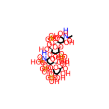 CC(=O)N[C@@H]1[C@@H](O)[C@H](O[C@@H]2O[C@H](C(=O)O)[C@@H](O[C@@H]3O[C@H](CO)[C@@H](O[C@H]4O[C@@H](C(=O)O)[C@H](O)[C@@H](O)[C@@H]4OS(=O)(=O)O)[C@H](OS(=O)(=O)O)[C@H]3NS(=O)(=O)O)[C@H](O)[C@H]2OS(=O)(=O)O)[C@H](COS(=O)(=O)O)O[C@H]1O